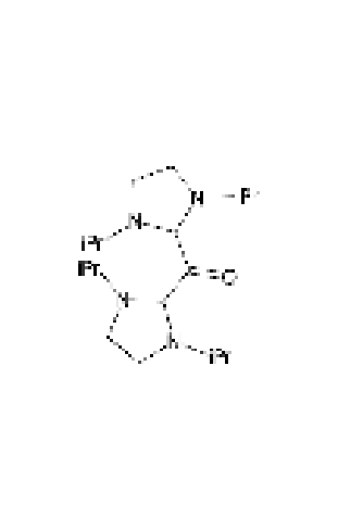 CC(C)N1CCN(C(C)C)C1C(=O)C1N(C(C)C)CCN1C(C)C